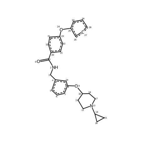 O=C(NCc1cccc(OC2CCN(C3CC3)CC2)c1)c1ccc(Oc2ccccc2)cc1